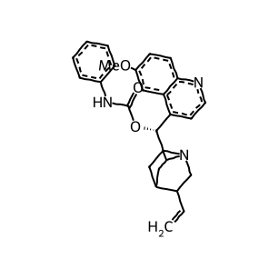 C=CC1CN2CCC1CC2[C@H](OC(=O)Nc1ccccc1)c1ccnc2ccc(OC)cc12